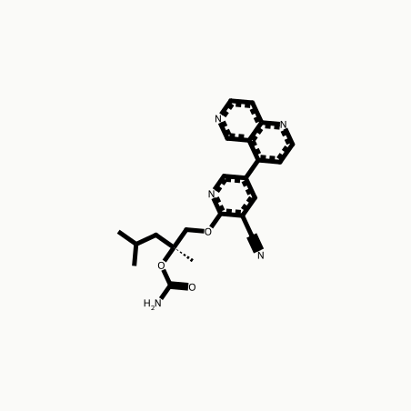 CC(C)C[C@@](C)(COc1ncc(-c2ccnc3ccncc23)cc1C#N)OC(N)=O